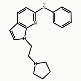 c1ccc(Nc2ccc3ccn(CCN4CCCC4)c3n2)cc1